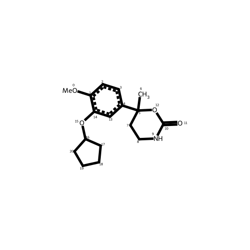 COc1ccc(C2(C)CCNC(=O)O2)cc1OC1CCCC1